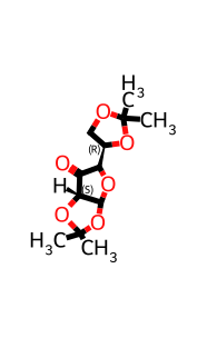 CC1(C)OC2OC([C@H]3COC(C)(C)O3)C(=O)[C@H]2O1